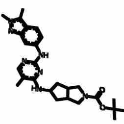 Cc1cnc(Nc2ccc3c(C)n(C)nc3c2)nc1NC1CC2CN(C(=O)OC(C)(C)C)CC2C1